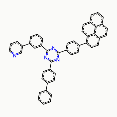 c1ccc(-c2ccc(-c3nc(-c4ccc(-c5ccc6ccc7cccc8ccc5c6c78)cc4)nc(-c4cccc(-c5cccnc5)c4)n3)cc2)cc1